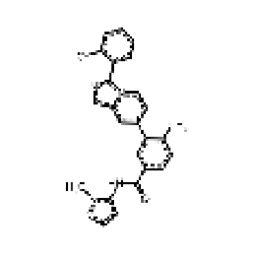 Cc1ccc(C(=O)Nc2ccnn2C)cc1-c1ccn2c(-c3ccccc3Cl)ncc2c1